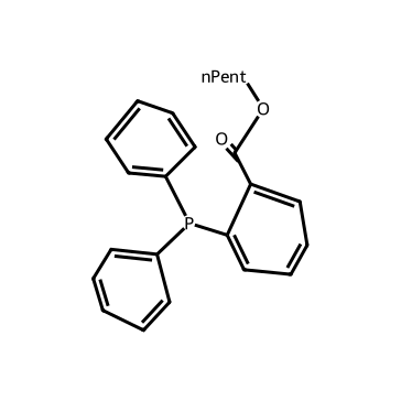 CCCCCOC(=O)c1ccccc1P(c1ccccc1)c1ccccc1